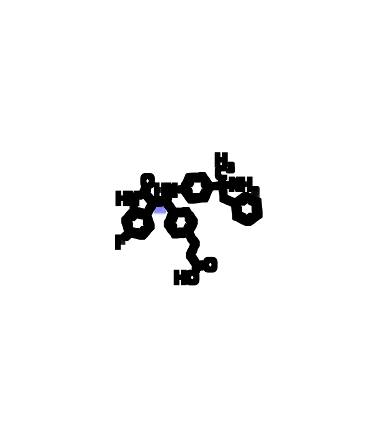 CC(N)(Cc1ccccc1)c1ccc(N/C(=C2\C(=O)Nc3cc(F)ccc32)c2ccc(CCC(=O)O)cc2)cc1